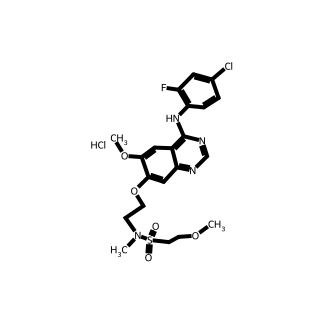 COCCS(=O)(=O)N(C)CCOc1cc2ncnc(Nc3ccc(Cl)cc3F)c2cc1OC.Cl